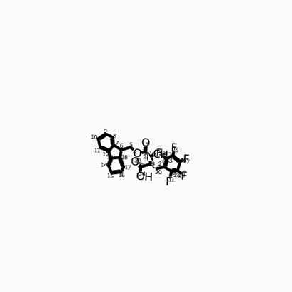 CN(C(=O)OCC1c2ccccc2-c2ccccc21)[C@H](Cc1c(F)c(F)c(F)c(F)c1F)C(=O)O